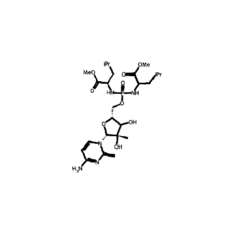 C=C1N=C(N)C=CN1[C@@H]1O[C@H](COP(=O)(NC(CC(C)C)C(=O)OC)NC(CC(C)C)C(=O)OC)C(O)[C@]1(C)O